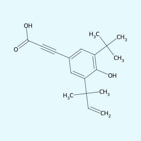 C=CC(C)(C)c1cc(C#CC(=O)O)cc(C(C)(C)C)c1O